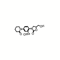 COc1cc(N2CCCCC2=O)ccc1N1CC(CO)OC1=O